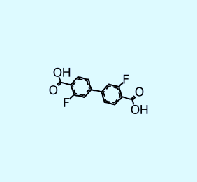 O=C(O)c1ccc(-c2ccc(C(=O)O)c(F)c2)cc1F